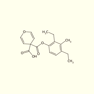 CCc1ccc(OC(=O)C2(C(=O)O)C=COC=C2)c(CC)c1C